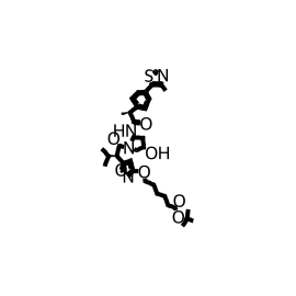 Cc1ncsc1-c1ccc([C@H](C)C(=O)N[C@@H]2C[C@@H](O)CN2C(=O)[C@@H](c2cc(OCCCCCC(=O)OC(C)(C)C)no2)C(C)C)cc1